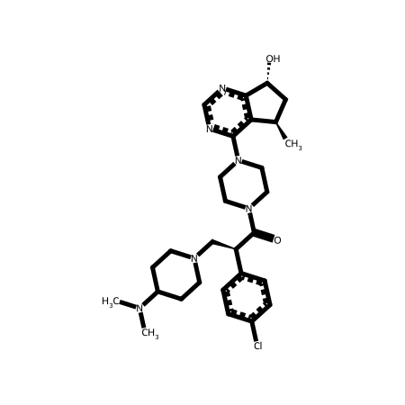 C[C@@H]1C[C@@H](O)c2ncnc(N3CCN(C(=O)[C@H](CN4CCC(N(C)C)CC4)c4ccc(Cl)cc4)CC3)c21